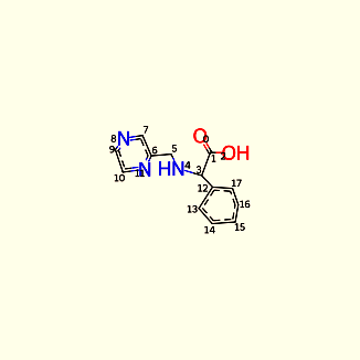 O=C(O)C(NCc1cnccn1)c1ccccc1